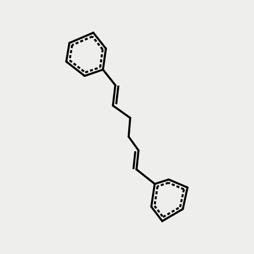 C(=C\c1ccccc1)/CC/C=C/c1ccccc1